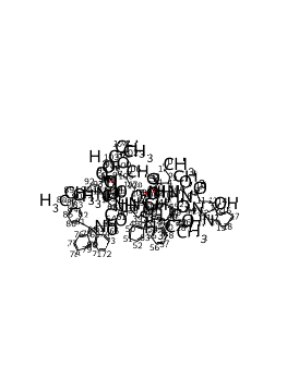 CC[C@H](C)[C@H](NC(=O)NC(=O)C1CC2(O)c3ccccc3NC2N1C(=O)OC(C)(C)C)C(=O)NCC(=O)NC(CSC(c1ccccc1)(c1ccccc1)c1ccccc1)C(=O)NC1CC(=O)NC(c2ccccc2)(c2ccccc2)c2ccc(cc2)C(C)(C)OC2C[C@@H](C(=O)N[C@H](C(=O)OC(C)(C)C)[C@@H](C)[C@H](COC(C)=O)OC(C)=O)N(C2)C1=O